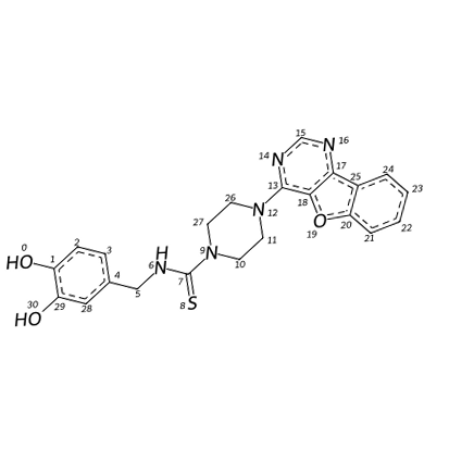 Oc1ccc(CNC(=S)N2CCN(c3ncnc4c3oc3ccccc34)CC2)cc1O